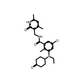 CCN(c1cc(Cl)cc(C(=O)NCc2c(C)cc(C)[nH]c2=O)c1C)C1CCC(=O)CC1